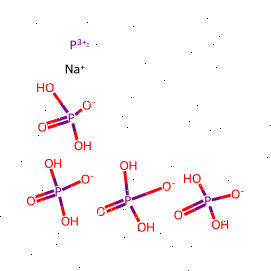 O=P([O-])(O)O.O=P([O-])(O)O.O=P([O-])(O)O.O=P([O-])(O)O.[Na+].[P+3]